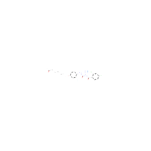 CC(=O)CCCCCOc1ccc(NC(=O)NC(=O)c2ccc(Cl)cc2Cl)c(F)c1